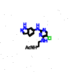 CC(=O)NCCNc1nc(Nc2ccc3cn[nH]c3c2)ncc1Cl